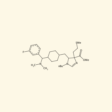 CCCCN1C=NC(CCSC)(C(=O)OC)C1CC1CCC(C(c2cccc(F)c2)N(C)C)CC1